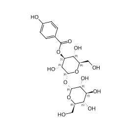 O=C(O[C@@H]1[C@@H](O)[C@@H](O[C@H]2O[C@H](CO)[C@@H](O)[C@H](O)[C@H]2O)O[C@H](CO)[C@H]1O)c1ccc(O)cc1